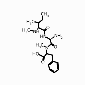 CCC(C)[C@H](NC)C(=O)N[C@@H](N)C(=O)N(C)C(Cc1ccccc1)C(=O)O